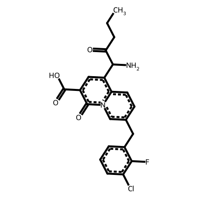 CCCC(=O)C(N)c1cc(C(=O)O)c(=O)n2cc(Cc3cccc(Cl)c3F)ccc12